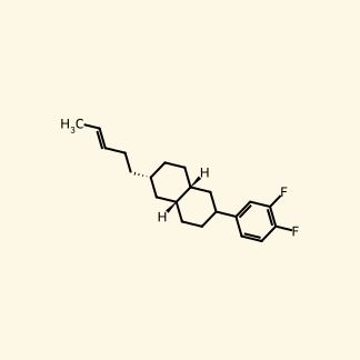 CC=CCC[C@@H]1CC[C@@H]2CC(c3ccc(F)c(F)c3)CC[C@@H]2C1